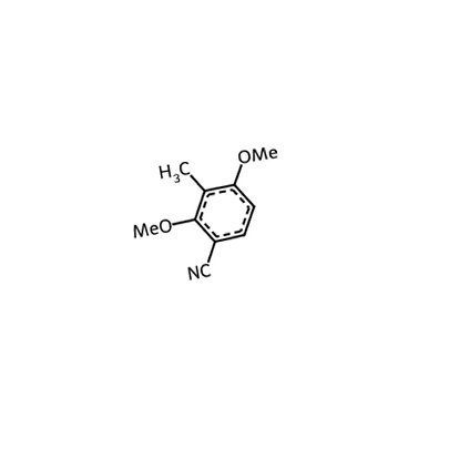 COc1ccc(C#N)c(OC)c1C